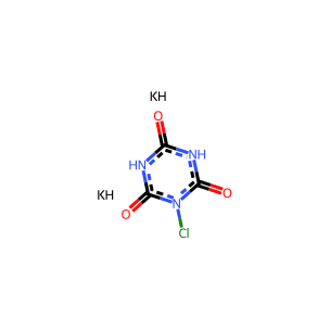 O=c1[nH]c(=O)n(Cl)c(=O)[nH]1.[KH].[KH]